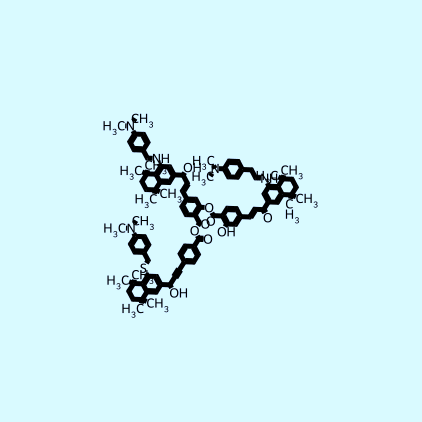 CN(C)c1ccc(CCNc2cc(C(=O)C=Cc3ccc(C(=O)Oc4cc(C=CC(O)c5cc(NCc6ccc(N(C)C)cc6)c6c(c5)C(C)(C)CCC6(C)C)ccc4C(=O)OC(=O)c4ccc(C#CC(O)c5cc(SCc6ccc(N(C)C)cc6)c6c(c5)C(C)(C)CCC6(C)C)cc4)c(O)c3)cc3c2C(C)(C)CCC3(C)C)cc1